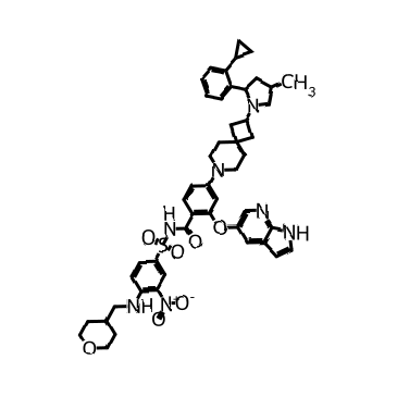 CC1CC(c2ccccc2C2CC2)N(C2CC3(CCN(c4ccc(C(=O)NS(=O)(=O)c5ccc(NCC6CCOCC6)c([N+](=O)[O-])c5)c(Oc5cnc6[nH]ccc6c5)c4)CC3)C2)C1